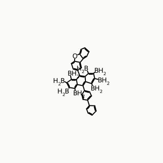 Bc1c(B)c(B)c2c(-c3ccc4oc5ccccc5c4c3)c3c(B)c(B)c(B)c(B)c3c(-c3ccc(-c4ccccc4)cc3)c2c1B